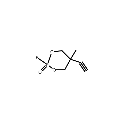 C#CC1(C)COP(=O)(F)OC1